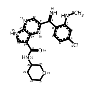 CNc1cc(Cl)ccc1C(=N)c1cnc2[nH]cc(C(=O)NC3CCCOC3)c2n1